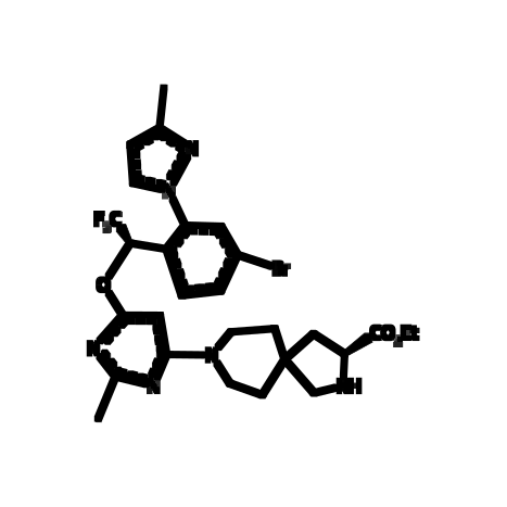 CCOC(=O)[C@@H]1CC2(CCN(c3cc(O[C@H](c4ccc(Br)cc4-n4ccc(C)n4)C(F)(F)F)nc(C)n3)CC2)CN1